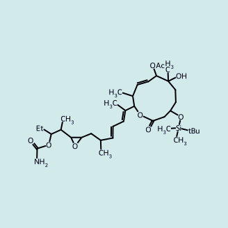 CCC(OC(N)=O)C(C)C1OC1CC(C)/C=C/C=C(\C)C1OC(=O)CC(O[Si](C)(C)C(C)(C)C)CCC(C)(O)C(OC(C)=O)/C=C/C1C